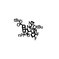 CCCOC(=O)C1=C(C23C4C5C2C2C3C4C52C(=O)OC(C)(C)C)N=C(c2nccs2)N(C(=O)OC(C)(C)C)C1c1ccc(F)c(F)c1Cl